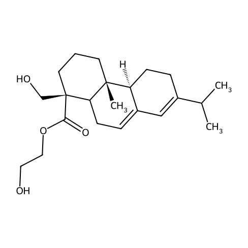 CC(C)C1=CC2=CCC3[C@](CO)(C(=O)OCCO)CCC[C@]3(C)[C@H]2CC1